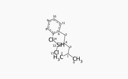 CC(C)CC(Cc1ccccc1)[SiH](Cl)Cl